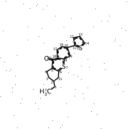 CCC1CCc2c(sc3cc(-c4cccs4)ccc3c2=O)C1